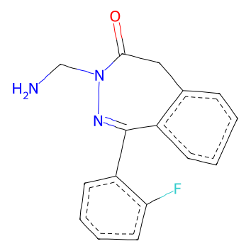 NCN1N=C(c2ccccc2F)c2ccccc2CC1=O